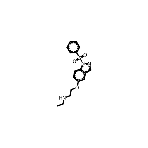 CCNCCOc1ccc2c(cnn2S(=O)(=O)c2ccccc2)c1